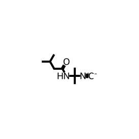 [C-]#[N+]C(C)(C)NC(=O)CC(C)C